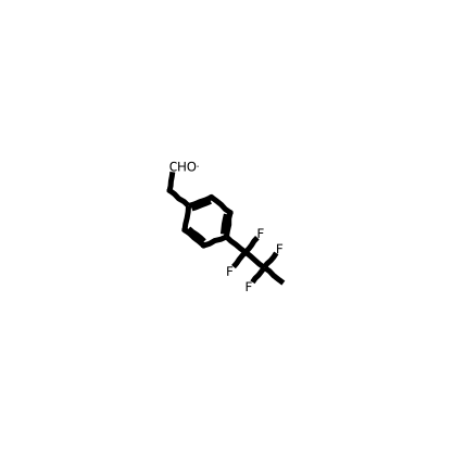 CC(F)(F)C(F)(F)c1ccc(C[C]=O)cc1